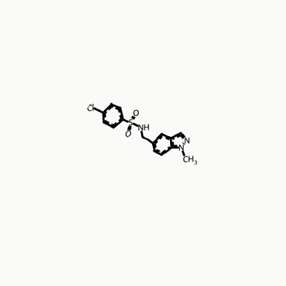 Cn1ncc2cc(CNS(=O)(=O)c3ccc(Cl)cc3)ccc21